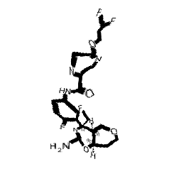 NC1=N[C@](CF)(c2cc(NC(=O)c3cnc(OCC(F)F)cn3)ccc2F)[C@H]2COCC[C@H]2O1